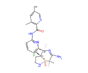 Cc1cc(C#N)cnc1C(=O)Nc1ccc(F)c([C@@]2(C)N=C(N)C(C)(C)[SH]3(=O)NCC[C@H]23)n1